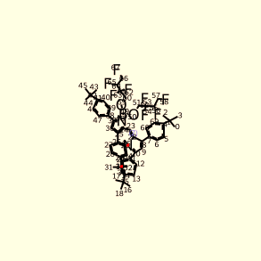 CC(C)(C)c1ccc(C2=CC(c3ccc(C(C)(C)C)cc3)=N/C2=C\c2c(-c3ccc(C(C)(C)C)cc3)cc(-c3ccc(C(C)(C)C)cc3)n2B(OCC(F)(F)C(F)CF)OCC(F)(F)C(F)CF)cc1